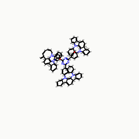 C=C1/C=C\C=C/CN(c2ccc(-c3nc(-c4ccc(-n5c6ccccc6c6ccc7c8ccccc8n(-c8ccccc8)c7c65)cc4)nc(-c4ccc(-n5c6ccccc6c6ccc7c8ccccc8n(-c8ccccc8)c7c65)cc4)n3)cc2)c2c1ccc1c3ccccc3n(-c3ccccc3)c21